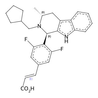 C[C@@H]1Cc2c([nH]c3ccccc23)[C@@H](c2c(F)cc(/C=C/C(=O)O)cc2F)N1CC1CCCC1